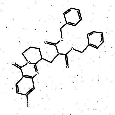 O=C(OCc1ccccc1)C(CC1CCCn2c1nc1cc(F)ccc1c2=O)C(=O)OCc1ccccc1